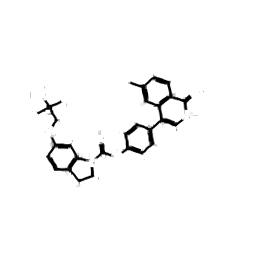 Cc1ccc2c(=O)[nH]cc(-c3ccc(OC(=O)N4CCc5ccc(OCC(C)(C)O)cc54)cc3)c2c1